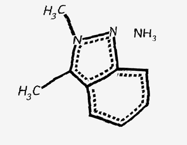 Cc1c2ccccc2nn1C.N